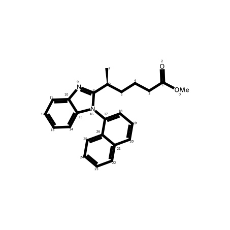 COC(=O)CCC[C@H](C)c1nc2ccccc2n1-c1cccc2ccccc12